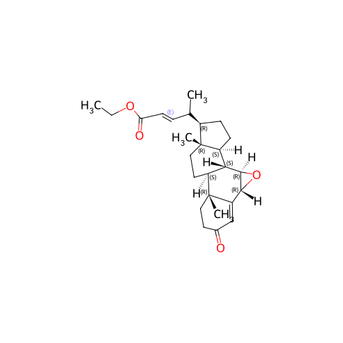 CCOC(=O)/C=C/C(C)[C@H]1CC[C@H]2[C@@H]3[C@H]4O[C@@H]4C4=CC(=O)CC[C@]4(C)[C@H]3CC[C@]12C